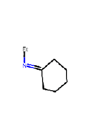 CCN=C1CCCCC1